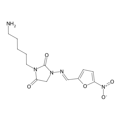 NCCCCCN1C(=O)CN(N=Cc2ccc([N+](=O)[O-])o2)C1=O